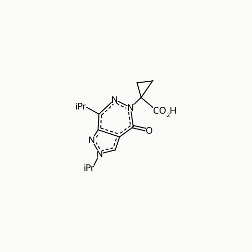 CC(C)c1nn(C2(C(=O)O)CC2)c(=O)c2cn(C(C)C)nc12